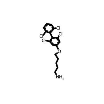 NCCCCCOc1cc(Cl)c(-c2c(Cl)cccc2Cl)c(Cl)c1